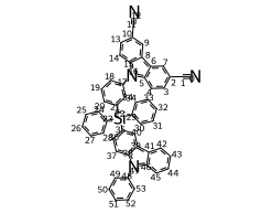 N#Cc1ccc2c(c1)c1cc(C#N)ccc1n2-c1cccc([Si](c2ccccc2)(c2ccccc2)c2ccc3c(c2)c2ccccc2n3-c2ccccc2)c1